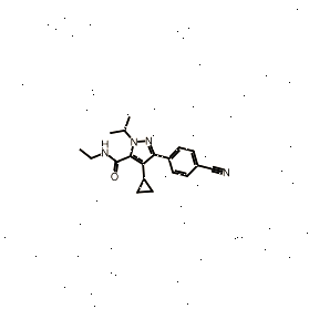 CCNC(=O)c1c(C2CC2)c(-c2ccc(C#N)cc2)nn1C(C)C